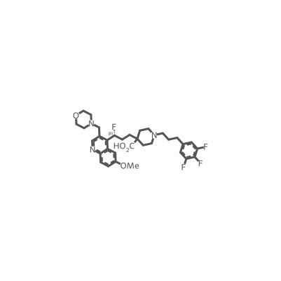 COc1ccc2ncc(CN3CCOCC3)c([C@H](F)CCC3(C(=O)O)CCN(CCCc4cc(F)c(F)c(F)c4)CC3)c2c1